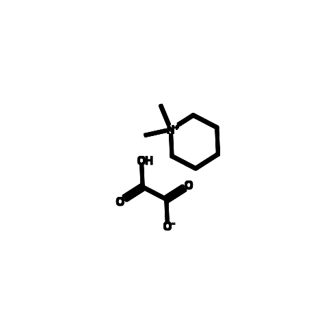 C[N+]1(C)CCCCC1.O=C([O-])C(=O)O